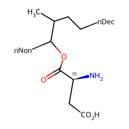 CCCCCCCCCCCCC(C)C(CCCCCCCCC)OC(=O)[C@@H](N)CC(=O)O